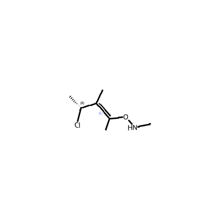 CNO/C(C)=C(\C)[C@@H](C)Cl